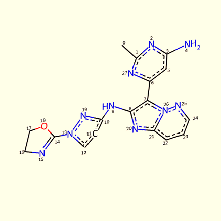 Cc1nc(N)cc(-c2c(Nc3ccn(C4=NCCO4)n3)nc3cccnn23)n1